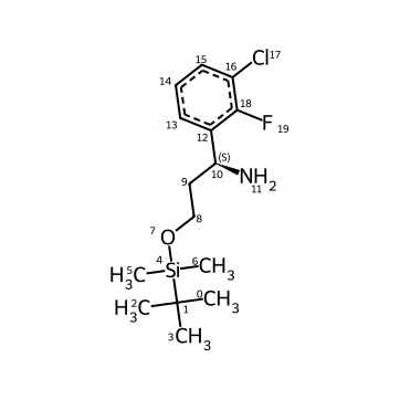 CC(C)(C)[Si](C)(C)OCC[C@H](N)c1cccc(Cl)c1F